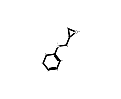 C1=CCCC(OCC2CO2)=C1